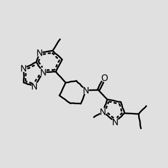 Cc1cc(C2CCCN(C(=O)c3cc(C(C)C)nn3C)C2)n2ncnc2n1